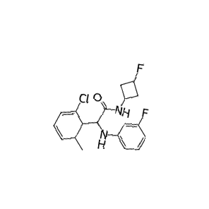 CC1C=CC=C(Cl)C1C(Nc1cccc(F)c1)C(=O)NC1CC(F)C1